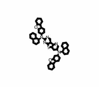 c1ccc2c(N(c3ccc4c(c3)oc3ccccc34)c3cnc4c(c3)sc3nc(N(c5ccc6c(c5)oc5ccccc56)c5cccc6ccccc56)ncc34)cccc2c1